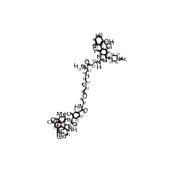 COc1cc(C(=O)NCCOCCOCCOCCN(C)C(=O)CCNc2nc(N3CCN(C(C)=O)CC3)c3cc(Cl)c(-c4c(O)cccc4F)c(F)c3n2)ccc1NC(=O)[C@@H]1N[C@@H](CC(C)(C)C)[C@](C#N)(c2ccc(Cl)cc2F)[C@H]1c1cccc(Cl)c1F